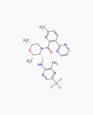 Cc1ccc(-c2ncccn2)c(C(=O)N2C[C@@H](C)O[C@@H](C)[C@H]2CNc2ncc(C(F)(F)F)nc2C)n1